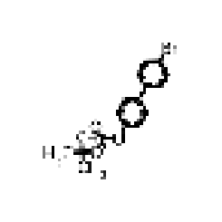 CC(C)(C)OC(=O)Oc1ccc(-c2ccc(Br)cc2)cc1